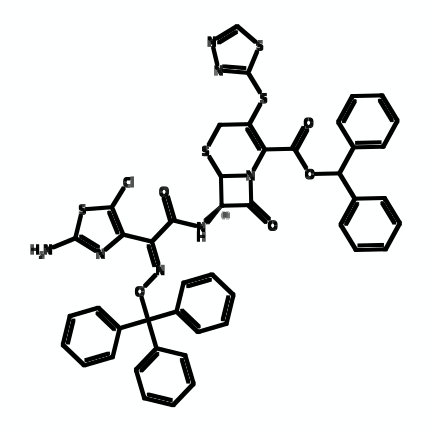 Nc1nc(C(=NOC(c2ccccc2)(c2ccccc2)c2ccccc2)C(=O)N[C@@H]2C(=O)N3C(C(=O)OC(c4ccccc4)c4ccccc4)=C(Sc4nncs4)CSC23)c(Cl)s1